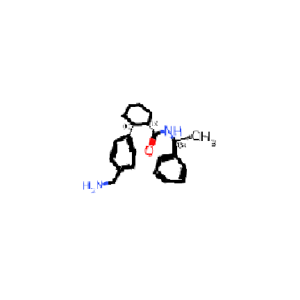 C[C@H](NC(=O)[C@H]1CCCC[C@H]1c1ccc(CN)cc1)c1ccccc1